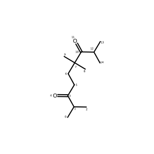 CC(C)C(=O)CCC(C)(C)C(=O)C(C)C